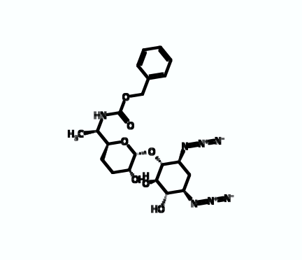 C[C@@H](NC(=O)OCc1ccccc1)[C@@H]1CC[C@@H](O)[C@@H](O[C@H]2[C@H](O)[C@@H](O)[C@H](N=[N+]=[N-])C[C@@H]2N=[N+]=[N-])O1